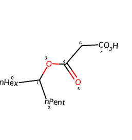 CCCCCCC(CCCCC)OC(=O)CC(=O)O